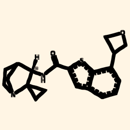 O=C(N[C@H]1C2CCN(CC2)C12CC2)c1cc2cccc(C3COC3)c2s1